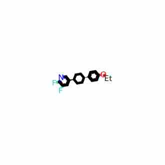 CCOc1ccc([C@H]2CC[C@H](c3cnc(F)c(F)c3)CC2)cc1